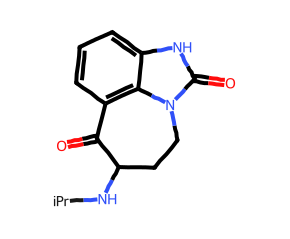 CC(C)NC1CCn2c(=O)[nH]c3cccc(c32)C1=O